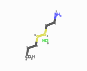 Cl.NCCSSCCC(=O)O